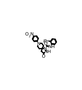 CC(C)c1ccccc1NC(=O)N1NC(=O)CC12CCN(c1ccc([N+](=O)[O-])cc1)CC2